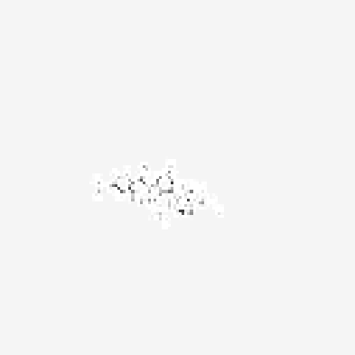 Cc1c(NC(=O)c2ccc(C3CC3)cc2F)cc(F)cc1-c1ncnc(N)c1O